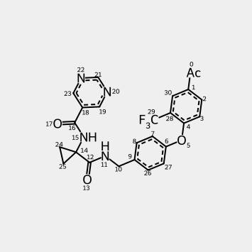 CC(=O)c1ccc(Oc2ccc(CNC(=O)C3(NC(=O)c4cncnc4)CC3)cc2)c(C(F)(F)F)c1